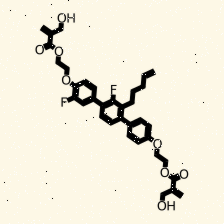 C=CCCCc1c(-c2ccc(OCCOC(=O)C(=C)CO)cc2)ccc(-c2ccc(OCCOC(=O)C(=C)CO)c(F)c2)c1F